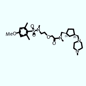 COc1cc(C)c(S(=O)(=O)N(C)CCOCC(=O)N(C)C[C@H]2CC[C@@H](CN3CCN(C)CC3)C2)c(C)c1